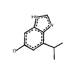 CC(C)c1cc(Cl)cc2[nH]cnc12